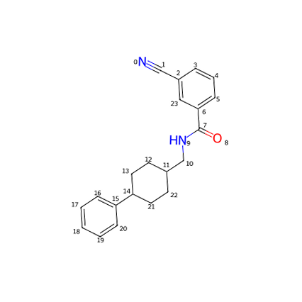 N#Cc1cccc(C(=O)NCC2CCC(c3ccccc3)CC2)c1